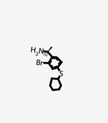 C[C@H](N)c1ccc(SC2CCCCC2)cc1Br